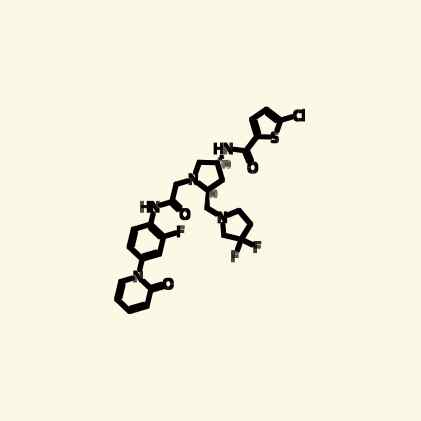 O=C(CN1C[C@H](NC(=O)c2ccc(Cl)s2)C[C@H]1CN1CCC(F)(F)C1)Nc1ccc(-n2ccccc2=O)cc1F